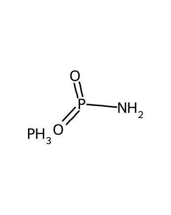 NP(=O)=O.P